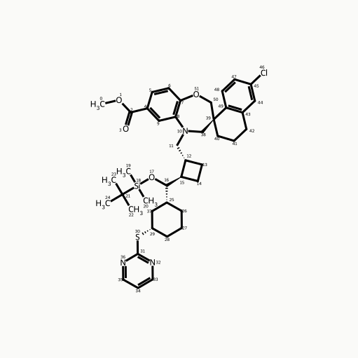 COC(=O)c1ccc2c(c1)N(C[C@@H]1CC[C@H]1C(O[Si](C)(C)C(C)(C)C)[C@@H]1CCC[C@H](Sc3ncccn3)C1)C[C@@]1(CCCc3cc(Cl)ccc31)CO2